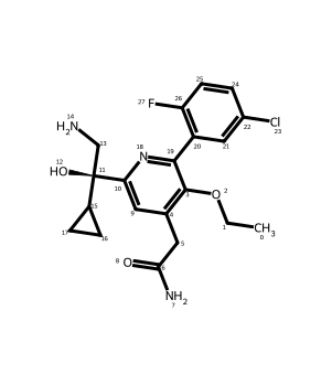 CCOc1c(CC(N)=O)cc([C@@](O)(CN)C2CC2)nc1-c1cc(Cl)ccc1F